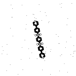 O=S(=O)(c1ccc(-c2ccncc2)cc1)c1ccc(S(=O)(=O)c2ccc(-c3ccncc3)cc2)cc1